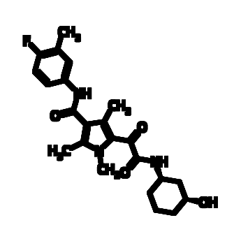 Cc1cc(NC(=O)c2c(C)c(C(=O)C(=O)N[C@@H]3CCC[C@H](O)C3)n(C)c2C)ccc1F